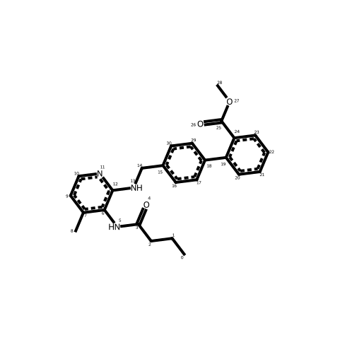 CCCC(=O)Nc1c(C)ccnc1NCc1ccc(-c2ccccc2C(=O)OC)cc1